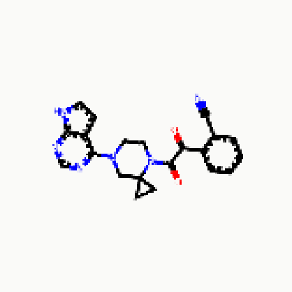 N#Cc1ccccc1C(=O)C(=O)N1CCN(c2ncnc3[nH]ccc23)CC12CC2